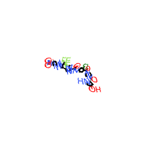 Cn1c(-c2cn(-c3ccc([N+](=O)[O-])cn3)nc2C(F)(F)F)cnc1C(=O)Nc1ccc(C(=O)N2CCN(C(=O)[C@@H]3C[C@@H](O)CN3)CC2)c(Cl)c1